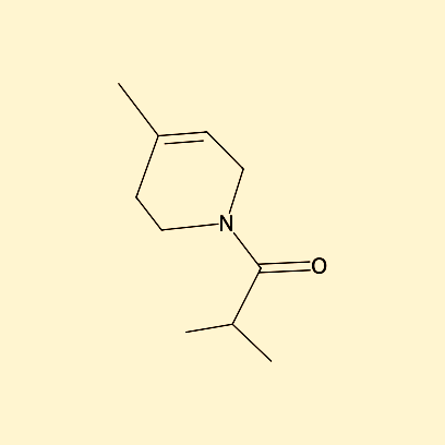 CC1=CCN(C(=O)C(C)C)CC1